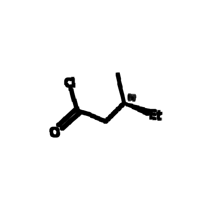 CC[C@H](C)CC(=O)Cl